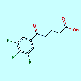 O=C(O)CCCC(=O)c1cc(F)c(F)c(F)c1